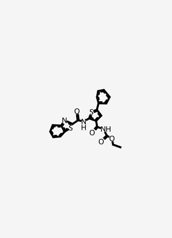 CCOC(=O)NC(=O)c1cc(-c2ccccc2)sc1NC(=O)c1nc2ccccc2s1